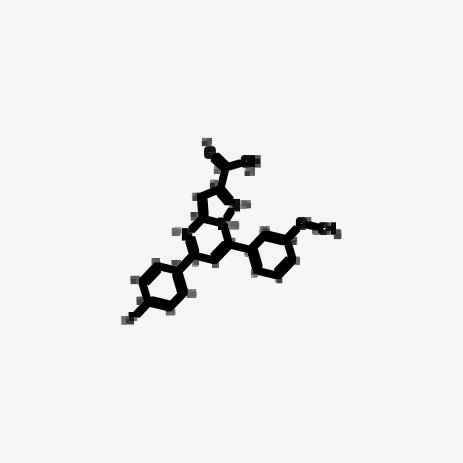 COc1cccc(-c2cc(-c3ccc(F)cc3)nc3cc(C(=O)O)nn23)c1